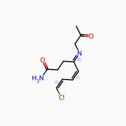 CC(=O)C/N=C(/C=C\C=C/Cl)CCC(N)=O